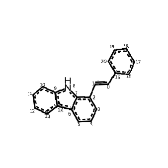 C(=C\c1cccc2c1[nH]c1ccccc12)/c1ccccc1